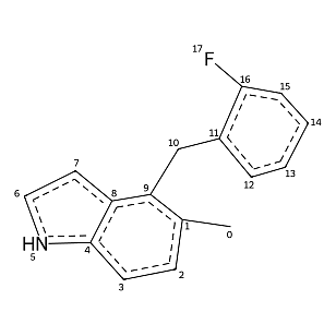 Cc1ccc2[nH]ccc2c1Cc1ccccc1F